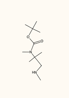 CNCC(C)(C)N(C)C(=O)OC(C)(C)C